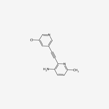 Cc1ccc(N)c(C#Cc2cncc(Cl)c2)n1